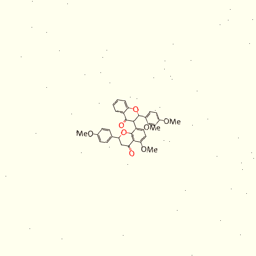 COc1ccc(C2CC(=O)c3c(OC)cc(OC)c(C4C(=O)c5ccccc5OC4c4ccc(OC)cc4)c3O2)cc1